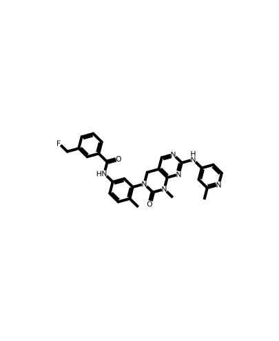 Cc1cc(Nc2ncc3c(n2)N(C)C(=O)N(c2cc(NC(=O)c4cccc(CF)c4)ccc2C)C3)ccn1